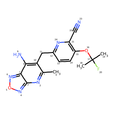 Cc1nc2nonc2c(N)c1Cc1ccc(OC(C)(C)F)c(C#N)n1